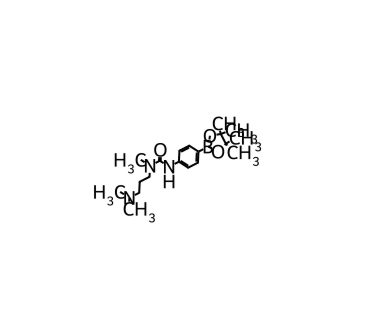 CN(C)CCCN(C)C(=O)Nc1ccc(B2OC(C)(C)C(C)(C)O2)cc1